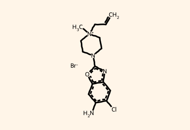 C=CC[N+]1(C)CCN(c2nc3cc(Cl)c(N)cc3o2)CC1.[Br-]